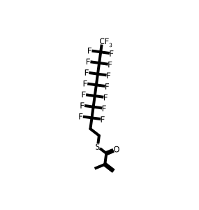 C=C(C)C(=O)SCCC(F)(F)C(F)(F)C(F)(F)C(F)(F)C(F)(F)C(F)(F)C(F)(F)C(F)(F)F